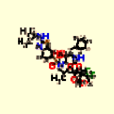 CC(C)CN(C[C@@H](O)[C@H](Cc1ccccc1)NC(=O)O[C@H]1CO[C@H]2OCC(F)(F)[C@H]21)S(=O)(=O)c1ccc2nc(NC(C)C)sc2c1